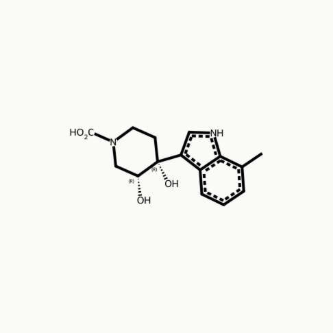 Cc1cccc2c([C@]3(O)CCN(C(=O)O)C[C@H]3O)c[nH]c12